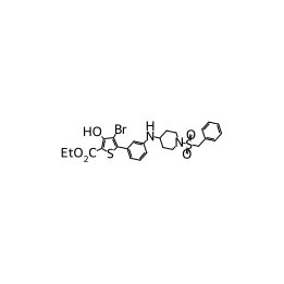 CCOC(=O)c1sc(-c2cccc(NC3CCN(S(=O)(=O)Cc4ccccc4)CC3)c2)c(Br)c1O